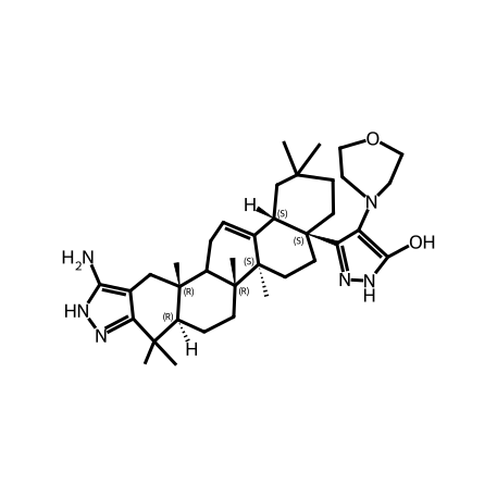 CC1(C)CC[C@]2(c3n[nH]c(O)c3N3CCOCC3)CC[C@]3(C)C(=CCC4[C@@]5(C)Cc6c(n[nH]c6N)C(C)(C)[C@@H]5CC[C@]43C)[C@@H]2C1